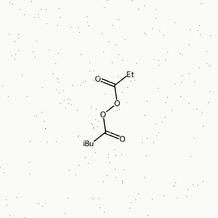 CCC(=O)OOC(=O)C(C)CC